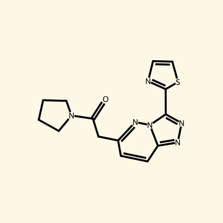 O=C(Cc1ccc2nnc(-c3nccs3)n2n1)N1CCCC1